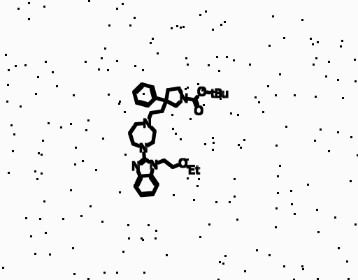 CCOCCn1c(N2CCCN(CCC3(c4ccccc4)CCN(C(=O)OC(C)(C)C)C3)CC2)nc2ccccc21